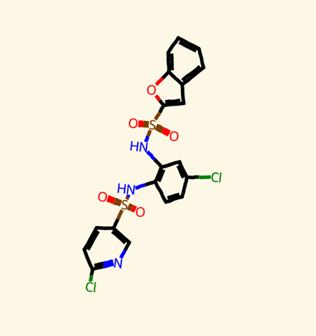 O=S(=O)(Nc1ccc(Cl)cc1NS(=O)(=O)c1cc2ccccc2o1)c1ccc(Cl)nc1